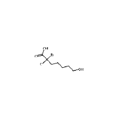 O=C(O)C(Cl)(Br)CCCCCO